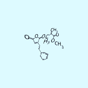 C=C(C)C(=O)OC.O=C1C=C(C=Cc2ccccc2)C(=O)O1